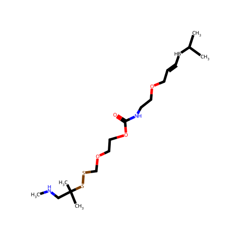 CNCC(C)(C)SSCOCCOC(=O)NCCOC/C=C/BC(C)C